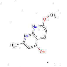 COc1ccc2c(O)cc(C)nc2n1